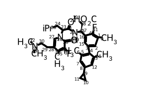 Cc1cc(-c2c(C)cc(C3CC3)cc2C)cc([C@H](CC(=O)O)NC(=O)C(CC(C)C)n2cc(CCN(C)C)c(C)c(F)c2=O)c1F